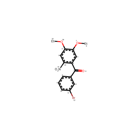 CCOc1cc(C(=O)c2cccc(Br)c2)c([N+](=O)[O-])cc1OCC